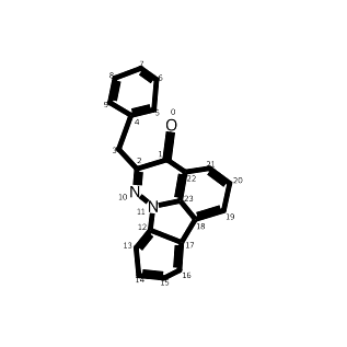 O=c1c(Cc2ccccc2)nn2c3ccccc3c3cccc1c32